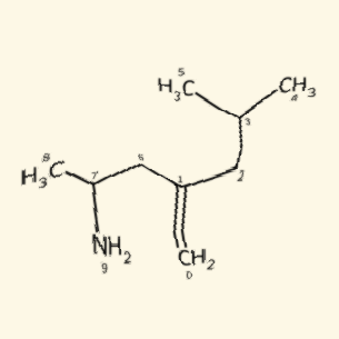 C=C(CC(C)C)CC(C)N